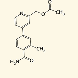 CC(=O)OCc1cc(-c2ccc(C(N)=O)c(C)c2)ccn1